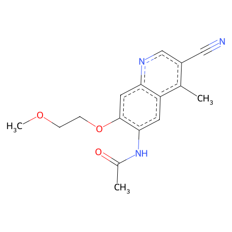 COCCOc1cc2ncc(C#N)c(C)c2cc1NC(C)=O